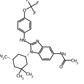 CC(=O)Nc1ccc2c(c1)nc(Nc1ccc(OC(F)(F)F)cc1)n2[C@H]1C[C@@H](C)CC(C)(C)C1